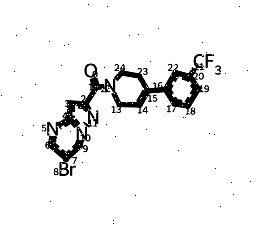 O=C(c1cc2ncc(Br)cn2n1)N1CC=C(c2cccc(C(F)(F)F)c2)CC1